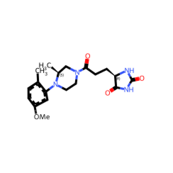 COc1ccc(C)c(N2CCN(C(=O)CC[C@H]3NC(=O)NC3=O)C[C@@H]2C)c1